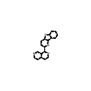 c1ccc2c(c1)sc1ccc(-c3nccc4ccncc34)nc12